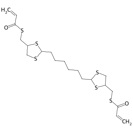 C=CC(=O)SCC1CSC(CCCCCCC2SCC(CSC(=O)C=C)S2)S1